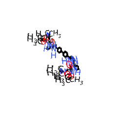 CN(C)CC[C@H](NC(=O)OC(C)(C)C)C(=O)N1CCC[C@H]1c1ncc(-c2ccc(-c3ccc(-c4cnc([C@@H]5CCCN5C(=O)[C@H](CCN(C)C)NC(=O)OC(C)(C)C)[nH]4)cc3)cc2)[nH]1